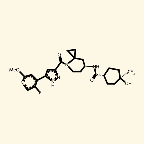 COc1cc(-c2cc(C(=O)N3CC[C@H](NC(=O)[C@H]4CC[C@@](O)(C(F)(F)F)CC4)CC34CC4)n[nH]2)c(F)cn1